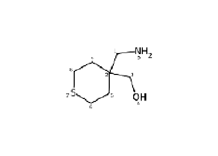 NCC1(CO)CCSCC1